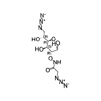 [N-]=[N+]=NCC(=O)NO[C@@H](C=O)[C@@H](O)[C@H](O)[C@H](O)CN=[N+]=[N-]